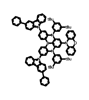 CC(C)(C)c1cc(N2c3cc(-n4c5ccccc5c5cc(-c6ccccc6)ccc54)ccc3B3c4ccc(-n5c6ccccc6c6cc(-c7ccccc7)ccc65)cc4N(c4cc(C(C)(C)C)cc(C(C)(C)C)c4)c4cc(N5c6ccccc6Oc6ccccc65)cc2c43)cc(C(C)(C)C)c1